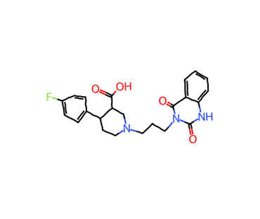 O=C(O)C1CN(CCCn2c(=O)[nH]c3ccccc3c2=O)CCC1c1ccc(F)cc1